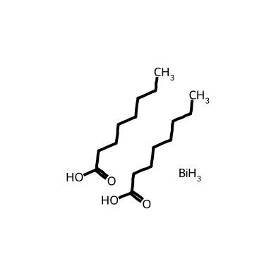 CCCCCCCC(=O)O.CCCCCCCC(=O)O.[BiH3]